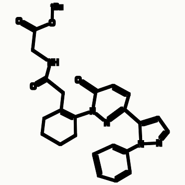 CC(C)(C)OC(=O)CNC(=O)CC1=C(n2nc(-c3ccnn3-c3ccccc3)ccc2=O)CCCC1